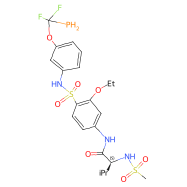 CCOc1cc(NC(=O)[C@@H](NS(C)(=O)=O)C(C)C)ccc1S(=O)(=O)Nc1cccc(OC(F)(F)P)c1